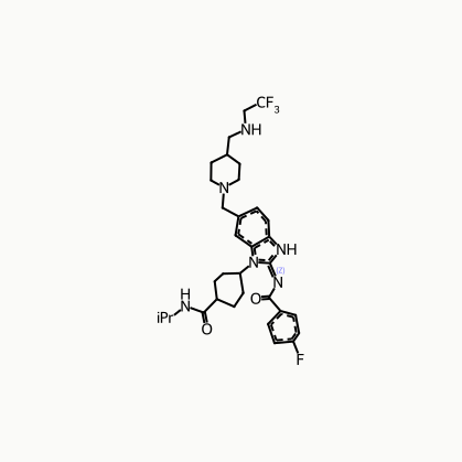 CC(C)NC(=O)C1CCC(n2/c(=N\C(=O)c3ccc(F)cc3)[nH]c3ccc(CN4CCC(CNCC(F)(F)F)CC4)cc32)CC1